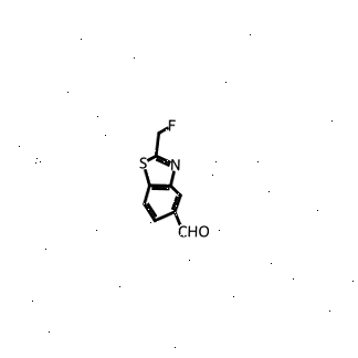 O=Cc1ccc2sc(CF)nc2c1